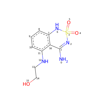 NC1=NS(=O)(=O)Nc2cccc(NCCO)c21